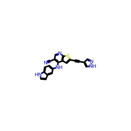 N#Cc1cnc2sc(C#Cc3cn[nH]c3)cc2c1Nc1ccc2[nH]ccc2c1